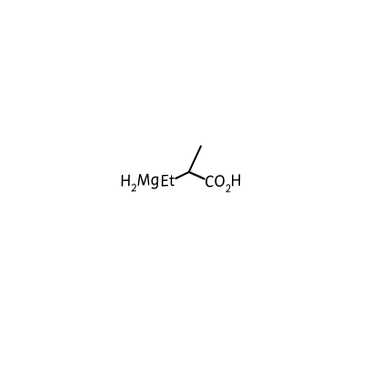 CCC(C)C(=O)O.[MgH2]